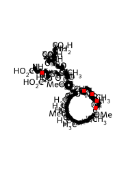 CO[C@H]1C[C@@H]2CC[C@@H](C)[C@@](O)(O2)C(=O)C(=O)N2CCCC[C@H]2C(=O)OC([C@H](C)C[C@@H]2CC[C@@H](OC(=O)C(C)(COC(=O)CSC[C@H](CC(=O)CC[C@H](N)C(=O)O)C(=O)NCC(=O)O)COC(=O)CSC[C@H](NC(=O)CC[C@H](N)C(=O)O)C(=O)NCC(=O)O)[C@H](OC)C2)CC(=O)[C@H](C)/C=C(\C)[C@@H](O)[C@@H](OC)C(=O)[C@H](C)C[C@@H](C)\C=C/C=C/C=C/1C